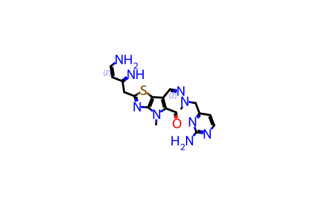 CN(Cc1ccnc(N)n1)/N=C\c1c(C=O)n(C)c2nc(CC(=N)/C=C\N)sc12